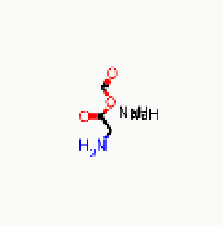 NCC(=O)OC=O.[NaH].[NaH]